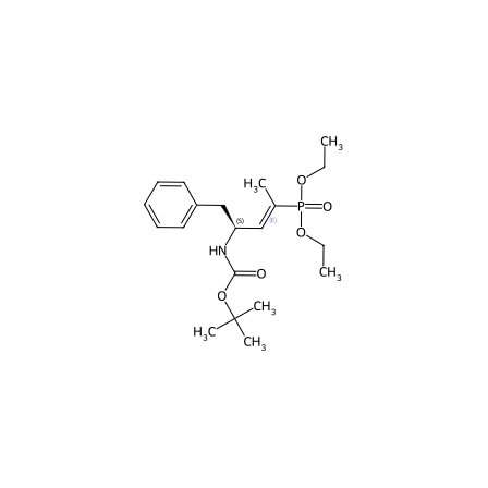 CCOP(=O)(OCC)/C(C)=C/[C@H](Cc1ccccc1)NC(=O)OC(C)(C)C